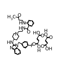 CC(=O)CCNc1ccccc1C(=O)NCCN1CCC(Nc2nc3ccccc3n2Cc2ccc(F)cc2)CC1.O=C(O)C=CC(=O)O.O=C(O)C=CC(=O)O